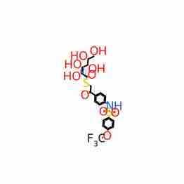 O=C(SCC(=O)c1ccc(NS(=O)(=O)c2ccc(OC(F)(F)F)cc2)cc1)/C(O)=C(/O)C(O)C(O)CO